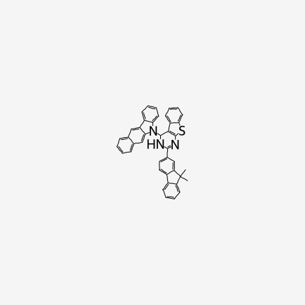 CC1(C)c2ccccc2-c2ccc(C3=Nc4sc5ccccc5c4C(n4c5ccccc5c5cc6ccccc6cc54)N3)cc21